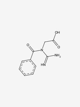 N=C(N)N(CC(=O)O)C(=O)c1ccccc1